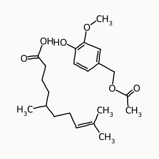 CC(C)=CCCC(C)CCCC(=O)O.COc1cc(COC(C)=O)ccc1O